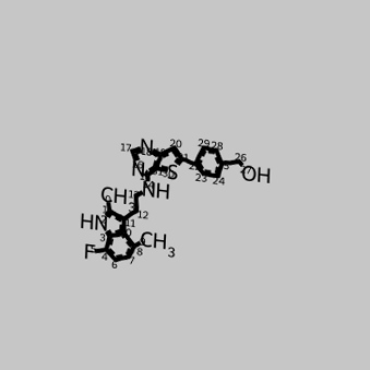 Cc1[nH]c2c(F)ccc(C)c2c1CCNc1ncnc2cc(-c3ccc(CO)cc3)sc12